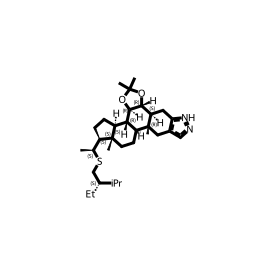 CC[C@H](CS[C@@H](C)[C@H]1CC[C@H]2[C@@H]3[C@H]4OC(C)(C)O[C@@H]4[C@H]4Cc5[nH]ncc5C[C@]4(C)[C@H]3CC[C@]12C)C(C)C